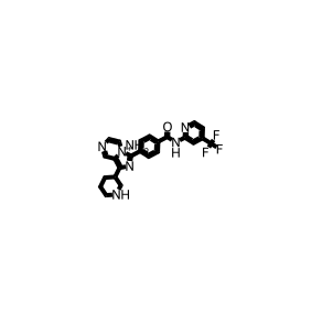 N[N+]12C=CN=CC1=C(C1CCCNC1)N=C2c1ccc(C(=O)Nc2cc(C(F)(F)F)ccn2)cc1